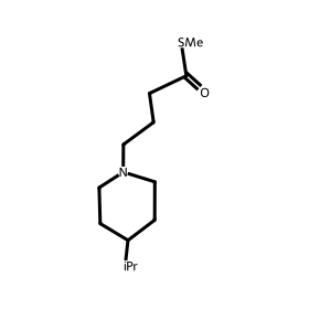 CSC(=O)CCCN1CCC(C(C)C)CC1